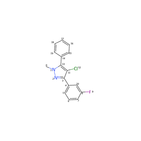 Cn1nc(-c2cccc(I)c2)c(Cl)c1-c1ccccc1